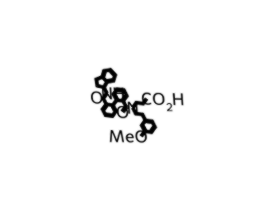 COc1cccc(CCN(CCC(=O)O)C(=O)c2ccccc2-c2ccccc2C(=O)NC2CCc3ccccc32)c1